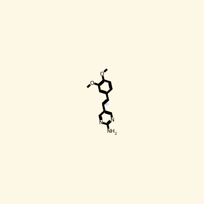 COc1ccc(/C=C/c2cnc(N)nc2)cc1OC